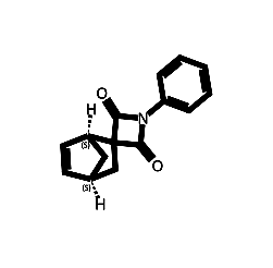 O=C1N(c2ccccc2)C(=O)C12C[C@H]1C=C[C@@H]2C1